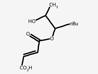 CCCCC(OC(=O)/C=C/C(=O)O)C(C)O